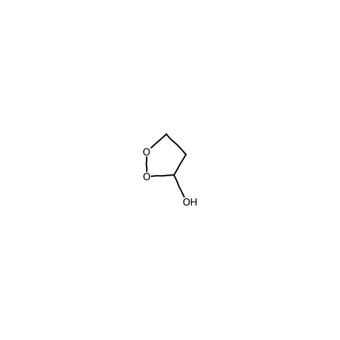 OC1CCOO1